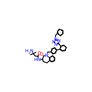 CC(C)(N)CC(=O)N[C@@H]1CCc2ccccc2N(Cc2ccc(-c3ccccc3-c3nnn(Cc4ccccc4)n3)cc2)C1=O